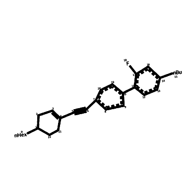 CCCCCCC1CC=C(C#Cc2ccc(-c3ccc(CCCC)cc3F)cc2)CC1